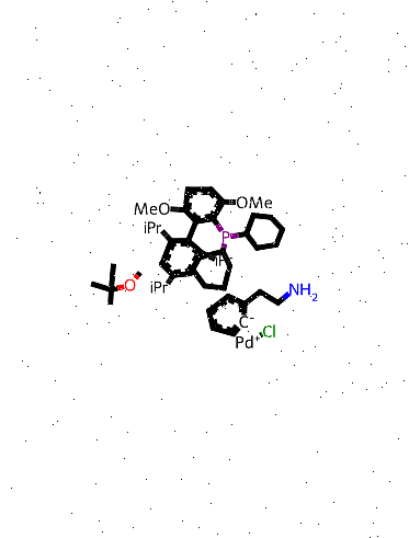 COC(C)(C)C.COc1ccc(OC)c(P(C2CCCCC2)C2CCCCC2)c1-c1c(C(C)C)cc(C(C)C)cc1C(C)C.NCCc1[c-]cccc1.[Cl][Pd+]